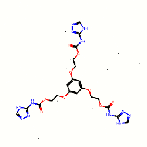 O=C(Nc1nnc[nH]1)OCCOc1cc(OCCOC(=O)Nc2nnc[nH]2)cc(OCCOC(=O)Nc2nnc[nH]2)c1